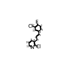 Fc1ccc(C=CCc2[c]ccnc2Cl)cc1Cl